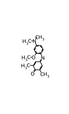 COc1cc(N(C)C)ccc1N=C1C=C(C)C(=O)C(C)=C1